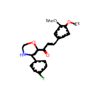 CCOc1ccc(C=CC(=O)C2OCCNC2c2ccc(F)cc2)cc1OC